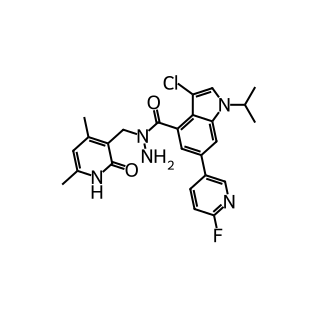 Cc1cc(C)c(CN(N)C(=O)c2cc(-c3ccc(F)nc3)cc3c2c(Cl)cn3C(C)C)c(=O)[nH]1